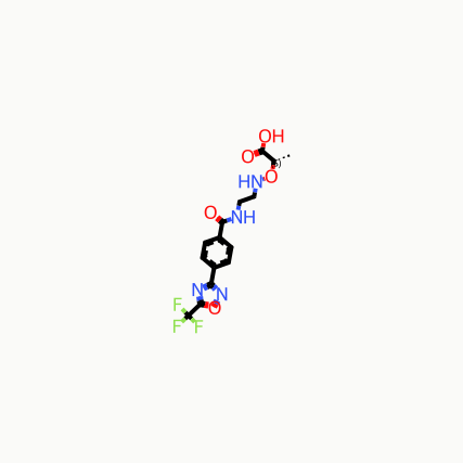 C[C@H](ONCCNC(=O)c1ccc(-c2noc(C(F)(F)F)n2)cc1)C(=O)O